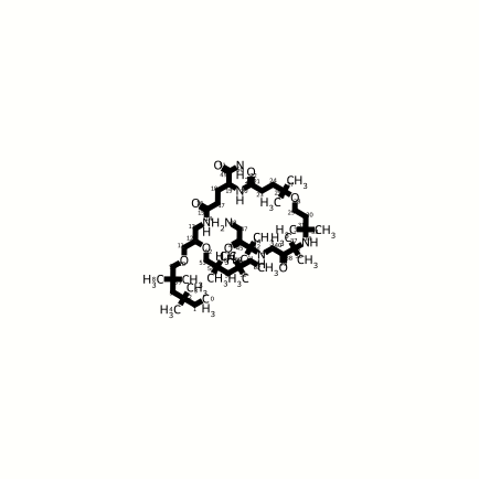 CCC(C)(C)CC(C)(C)COCC(CNC(=O)CCC(NC(=O)CCC(C)(C)OCCC(C)(C)NC(C)(C)C(=O)CNC(C)(C)C(=O)CN)C(N)=O)OCC(C)(C)CC(C)(C)CC